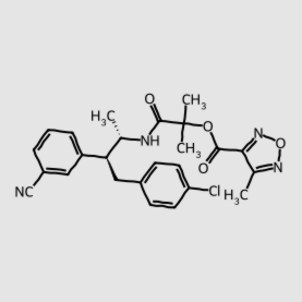 Cc1nonc1C(=O)OC(C)(C)C(=O)N[C@@H](C)[C@@H](Cc1ccc(Cl)cc1)c1cccc(C#N)c1